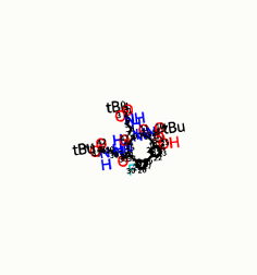 CC(C)(C)OC(=O)NCCC[C@@H]1NC(=O)[C@@H](NC(=O)OC(C)(C)C)Cc2cc(ccc2O)-c2ccc(F)c(c2)C[C@@H](C(=O)NCCNC(=O)OC(C)(C)C)NC1=O